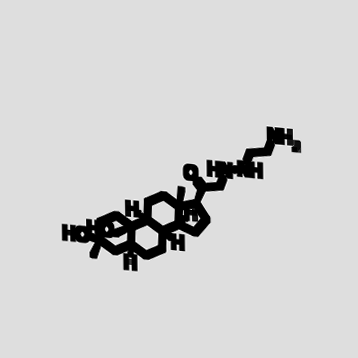 C[C@@]1(O)CC[C@@]2(CO)[C@@H](CC[C@H]3[C@@H]4CC[C@H](C(=O)CNNCCN)[C@@]4(C)CC[C@@H]32)C1